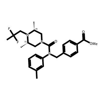 COC(=O)c1ccc(CN(C(=O)N2C[C@@H](C)N(CC(C)(F)F)[C@@H](C)C2)c2cccc(C)c2)cc1